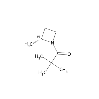 C[C@@H]1CCN1C(=O)C(C)(C)C